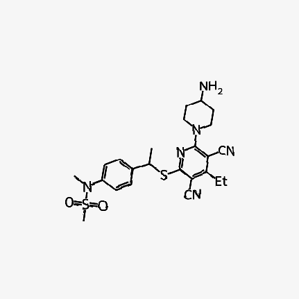 CCc1c(C#N)c(SC(C)c2ccc(N(C)S(C)(=O)=O)cc2)nc(N2CCC(N)CC2)c1C#N